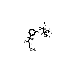 CCOC(=O)C(F)(F)c1cccc(B2OC(C)(C)C(C)(C)O2)c1